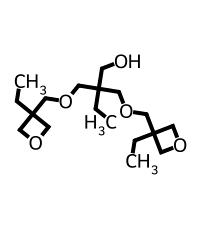 CCC(CO)(COCC1(CC)COC1)COCC1(CC)COC1